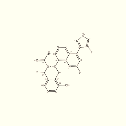 Cc1cc(-c2n[nH]cc2C)c2cccc(OCc3c(Cl)ccnc3C(C)OC(=O)C(C)C)c2n1